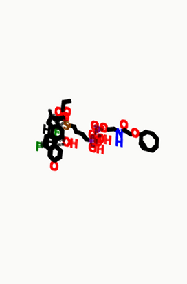 CCC(=O)O[C@]1(C(=O)SCCCCP(=O)(O)OP(=O)(O)OCCNC(=O)COC2C#CCCCCC2)[C@H](C)C[C@H]2[C@@H]3C[C@H](F)C4=CC(=O)C=C[C@]4(C)[C@@]3(F)[C@@H](O)C[C@@]21C